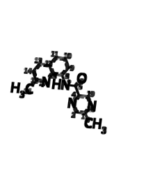 Cc1cnc(C(=O)Nc2cccc3ccc(C)nc23)cn1